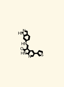 O=C1Nc2ncc(-c3ccsc3)cc2/C1=C/Nc1ccc2cn[nH]c2c1